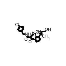 Cn1cc(C(=O)NCc2ccc(Cl)cc2)c(=O)c2cccc(C(C)(C)CCO)c21